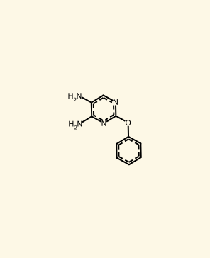 Nc1cnc(Oc2ccccc2)nc1N